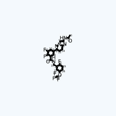 CC(=O)Nc1cn2nc(-c3cc(F)c(F)c(C(=O)NCc4cc(OC(F)(F)F)ccc4F)c3)ccc2n1